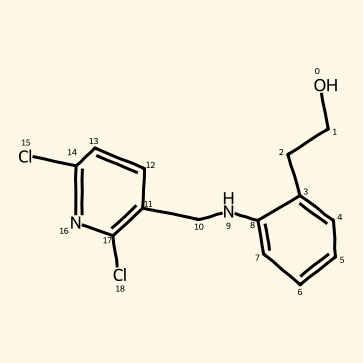 OCCc1ccccc1NCc1ccc(Cl)nc1Cl